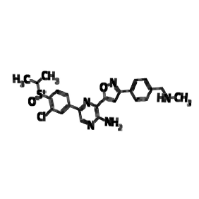 CNCc1ccc(-c2cc(-c3nc(-c4ccc([S+]([O-])C(C)C)c(Cl)c4)cnc3N)on2)cc1